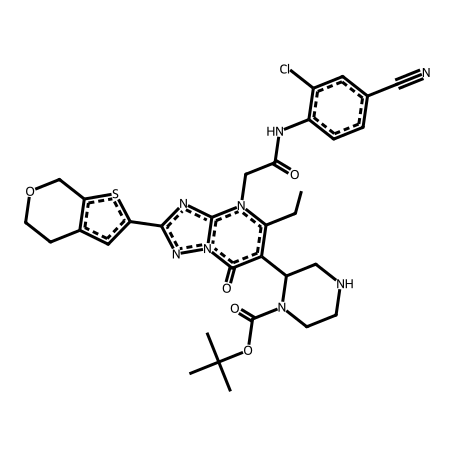 CCc1c(C2CNCCN2C(=O)OC(C)(C)C)c(=O)n2nc(-c3cc4c(s3)COCC4)nc2n1CC(=O)Nc1ccc(C#N)cc1Cl